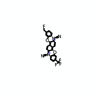 N#C/N=C1\C=CC2=C(Oc3cccc(C(F)(F)F)c3)/C(=N/C#N)C=CC2=C1Oc1cccc(CF)c1